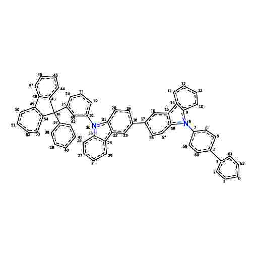 c1ccc(-c2ccc(-n3c4ccccc4c4cc(-c5ccc6c(c5)c5ccccc5n6-c5cccc(C6(c7ccccc7)c7ccccc7-c7ccccc76)c5)ccc43)cc2)cc1